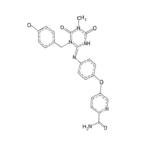 Cn1c(=O)[nH]/c(=N\c2ccc(Oc3ccc(C(N)=O)nc3)cc2)n(Cc2ccc(Cl)cc2)c1=O